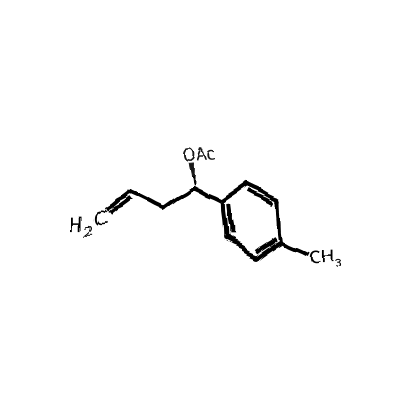 C=CC[C@@H](OC(C)=O)c1ccc(C)cc1